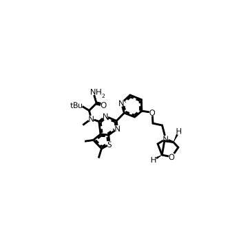 Cc1sc2nc(-c3cc(OCCN4C[C@@H]5C[C@H]4CO5)ccn3)nc(N(C)C(C(N)=O)C(C)(C)C)c2c1C